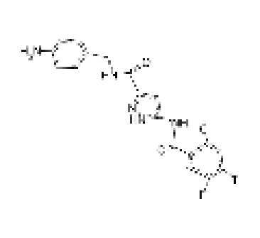 Nc1ccc(CNC(=O)c2cc(NC(=O)c3cc(F)c(F)cc3Cl)[nH]n2)cc1